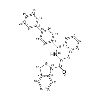 O=C(C(Cc1ccccc1)NCc1ccc(-c2cncnc2)cc1)N1CCc2ccccc21